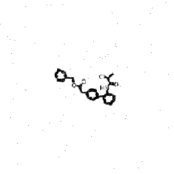 CC(Cl)C(=O)Nc1ccccc1-c1ccc(CC(=O)OCc2ccccc2)cc1